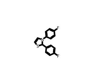 Fc1ccc(C2SC=CN2c2ccc(F)cc2)cc1